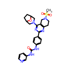 CS(=O)(=O)N1CCc2nc(-c3ccc(NC(=O)Nc4cccnc4)cc3)nc(N3CC4CCC(C3)O4)c2C1